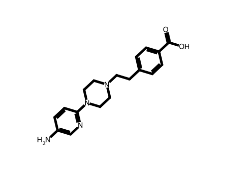 Nc1ccc(N2CCN(CCc3ccc(C(=O)O)cc3)CC2)nc1